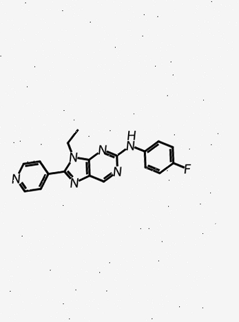 CCn1c(-c2ccncc2)nc2cnc(Nc3ccc(F)cc3)nc21